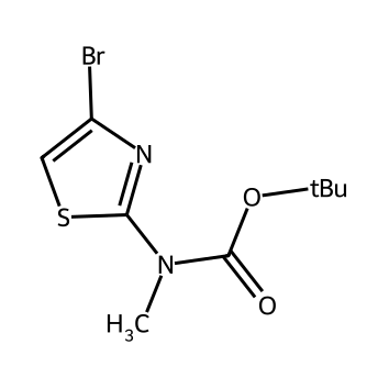 CN(C(=O)OC(C)(C)C)c1nc(Br)cs1